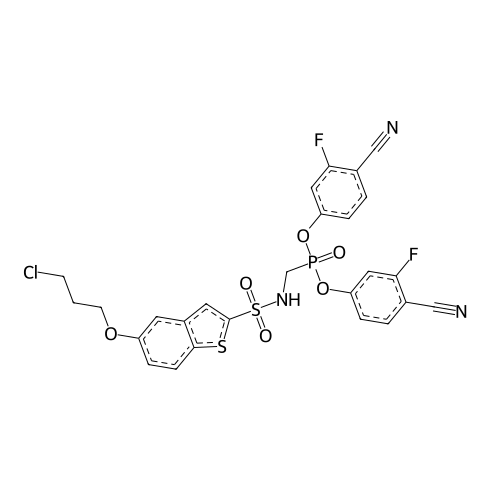 N#Cc1ccc(OP(=O)(CNS(=O)(=O)c2cc3cc(OCCCCl)ccc3s2)Oc2ccc(C#N)c(F)c2)cc1F